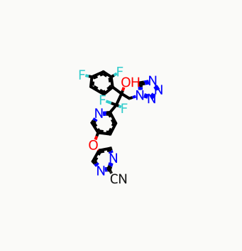 N#Cc1ncc(Oc2ccc(C(F)(F)C(O)(Cn3cnnn3)c3ccc(F)cc3F)nc2)cn1